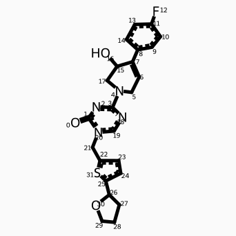 O=c1nc(N2CC=C(c3ccc(F)cc3)C(O)C2)ncn1Cc1ccc(C2CCCO2)s1